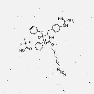 O=C(O)C(F)(F)F.[N-]=[N+]=NCCCCCCOC(=O)NC(Cc1ccc(NC(=N)N)cc1)P(=O)(Oc1ccccc1)Oc1ccccc1